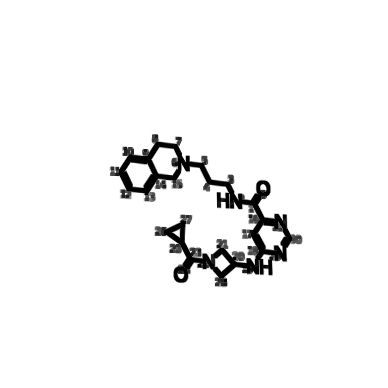 O=C(NCCCN1CCc2ccccc2C1)c1cc(NC2CN(C(=O)C3CC3)C2)ncn1